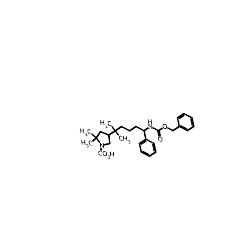 CC(C)(CCCC(NC(=O)OCc1ccccc1)c1ccccc1)C1CN(C(=O)O)C(C)(C)C1